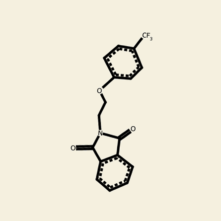 O=C1c2ccccc2C(=O)N1CCOc1ccc(C(F)(F)F)cc1